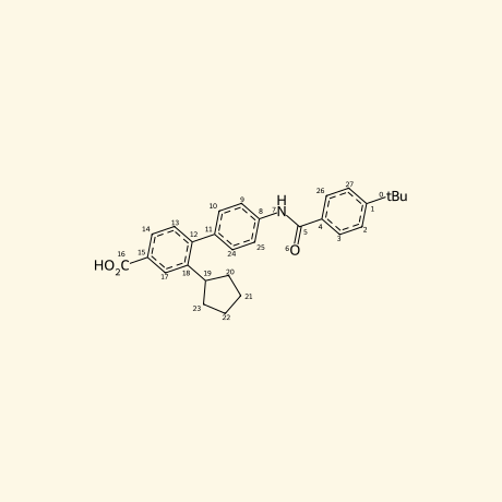 CC(C)(C)c1ccc(C(=O)Nc2ccc(-c3ccc(C(=O)O)cc3C3CCCC3)cc2)cc1